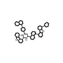 c1ccc(-c2cccc3c2oc2cccc(-c4cccc5c(C6N=C(c7ccc(-c8cccc9ccccc89)cc7)NC(c7cccc8oc9ccccc9c78)N6)cccc45)c23)cc1